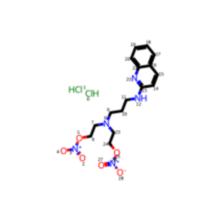 Cl.Cl.O=[N+]([O-])OCCN(CCCNc1ccc2ccccc2n1)CCO[N+](=O)[O-]